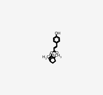 CC1(C)C2CCC1(C)C(OC(=O)C=Cc1ccc(O)cc1)C2